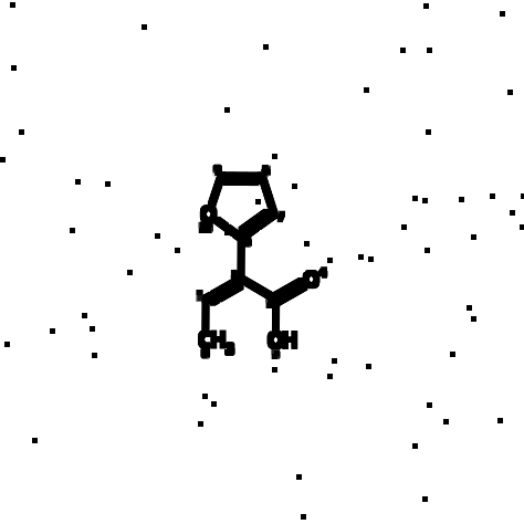 CC=C(C(=O)O)c1ccco1